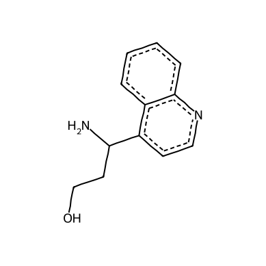 NC(CCO)c1ccnc2ccccc12